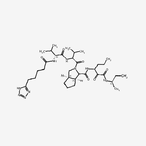 CCCC(NC(=O)C1[C@H]2CCC[C@H]2CN1C(=O)C(NC(=O)[C@H](NC(=O)CCCCc1nnn[nH]1)C(C)C)C(C)C)C(=O)C(=O)N[C@H](C)CC